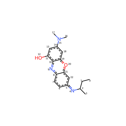 CCC(C)/N=c1/ccc2nc3c(O)cc(N(C)C)cc3oc-2c1